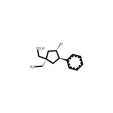 CC[C@H]1C[C@](CN)(CC(=O)O)C[C@@H]1c1ccccc1